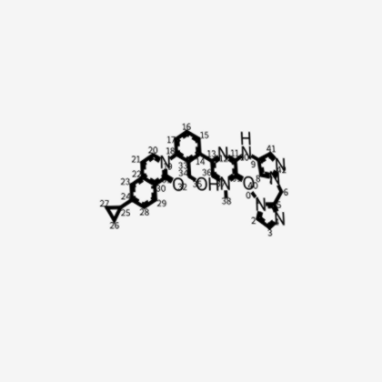 Cn1ccnc1Cn1cc(Nc2nc(-c3cccc(-n4ccc5cc(C6CC6)ccc5c4=O)c3CO)cn(C)c2=O)cn1